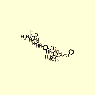 Nc1nc2ncc(CNc3ccc(C(=O)N[C@H](C(=O)O)C(N)C(N)(CCCCOc4ccccc4)C(=O)O)cc3)nc2c(=O)[nH]1